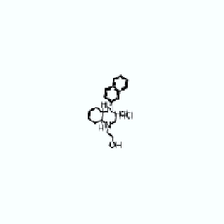 Cl.Cl.OCCN1CCN(c2ccc3ccccc3c2)[C@H]2CCCC[C@@H]21